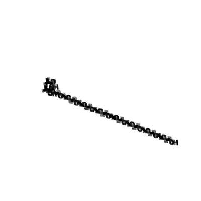 C=C(C)C(=O)O.C=C(C)C(=O)O.OCCOCCOCCOCCOCCOCCOCCOCCOCCOCCOCCOCCOCCOCCOCCO